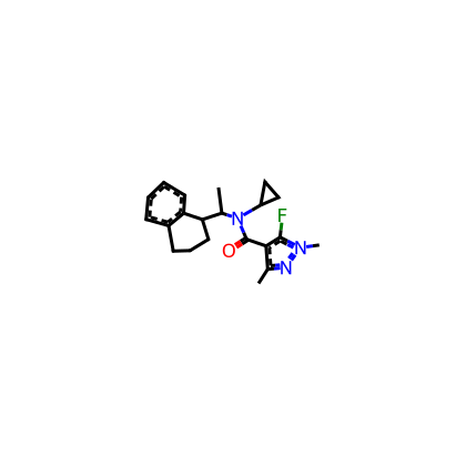 Cc1nn(C)c(F)c1C(=O)N(C1CC1)C(C)C1CCCc2ccccc21